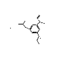 C=C[C](C)c1cc(CCC)cc(CC(C)C)c1